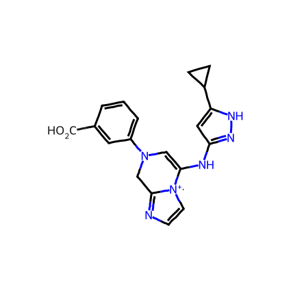 O=C(O)c1cccc(N2C=C(Nc3cc(C4CC4)[nH]n3)[N+]3C=CN=C3C2)c1